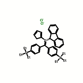 CC[Si](CC)(CC)c1ccc([C](c2ccc([Si](CC)(CC)CC)cc2)=[Zr+2]([C]2=CC=CC2)[CH]2c3ccccc3-c3ccccc32)cc1.[Cl-].[Cl-]